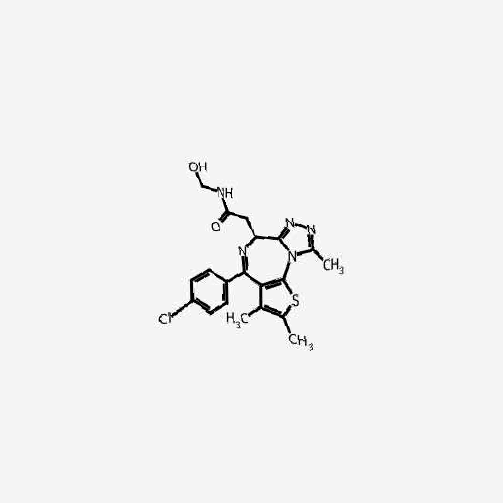 Cc1sc2c(c1C)C(c1ccc(Cl)cc1)=N[C@@H](CC(=O)NCO)c1nnc(C)n1-2